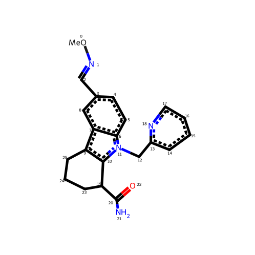 CON=Cc1ccc2c(c1)c1c(n2Cc2ccccn2)C(C(N)=O)C[C]C1